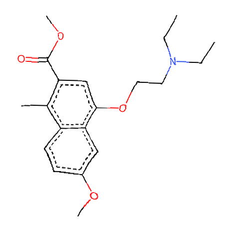 CCN(CC)CCOc1cc(C(=O)OC)c(C)c2ccc(OC)cc12